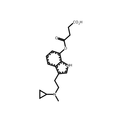 CN(CCc1c[nH]c2c(OC(=O)CCC(=O)O)cccc12)C1CC1